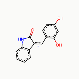 O=C1Nc2ccccc2/C1=C/c1ccc(O)cc1O